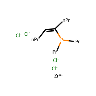 CCCC=C(CCC)P(C(C)C)C(C)C.[Cl-].[Cl-].[Cl-].[Cl-].[Zr+4]